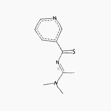 C/C(=N\C(=S)c1cccnc1)N(C)C